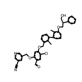 Cc1c(COc2cc(OCc3cncc(C#N)c3)c(C=O)cc2Cl)cccc1-c1cccc(OCC(CO)c2ccccc2)c1C